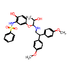 COc1ccc(C(CNC(Oc2ccc(O)c(NS(=O)(=O)c3ccccc3)c2)C(C)O)c2ccc(OC)cc2)cc1